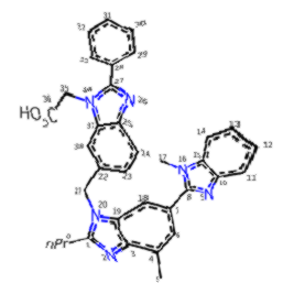 CCCc1nc2c(C)cc(-c3nc4ccccc4n3C)cc2n1Cc1ccc2nc(-c3ccccc3)n(CC(=O)O)c2c1